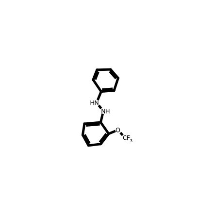 FC(F)(F)Oc1ccccc1NNc1ccccc1